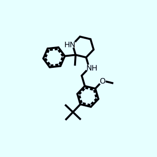 COc1ccc(C(C)(C)C)cc1CNC1CCCNC1(C)c1ccccc1